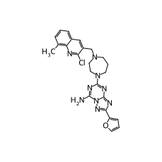 Cc1cccc2cc(CN3CCCN(c4nc(N)n5nc(-c6ccco6)nc5n4)CC3)c(Cl)nc12